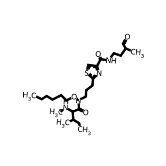 CCCCCCON(CCCc1nc(C(=O)NCCC(C)C=O)cs1)C(=O)C(NC)C(C)CC